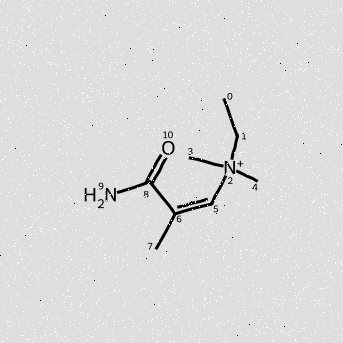 CC[N+](C)(C)C=C(C)C(N)=O